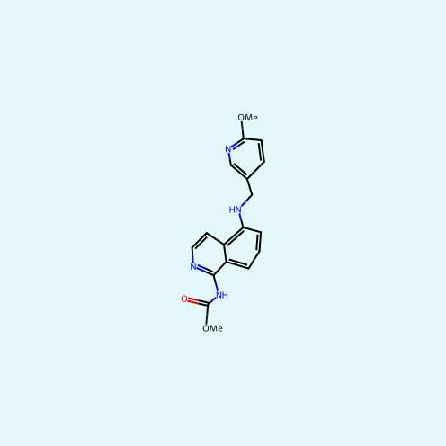 COC(=O)Nc1nccc2c(NCc3ccc(OC)nc3)cccc12